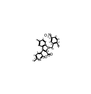 Cc1ccc2c(c1)c1c3ccc(C)nc3oc(=O)c1n2Cc1cc([N+](=O)[O-])ccc1F